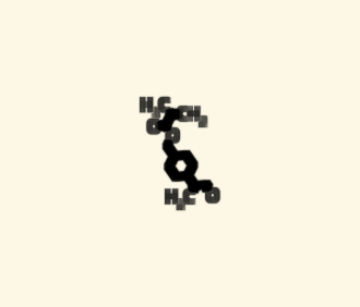 C=C(C)C(=O)OCC1CCC(C(=C)C=O)CC1